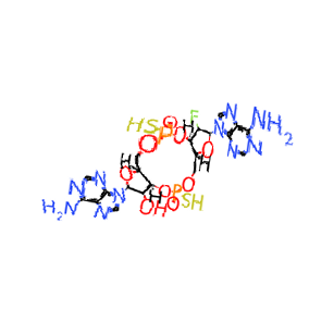 Nc1ncnc2c1ncn2[C@@H]1O[C@@H]2CO[P@](=O)(S)O[C@H]3[C@@H](F)[C@H](n4cnc5c(N)ncnc54)O[C@@H]3CO[P@@](=O)(S)O[C@H]2[C@H]1O